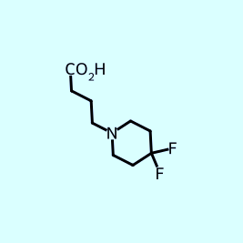 O=C(O)CCCN1CCC(F)(F)CC1